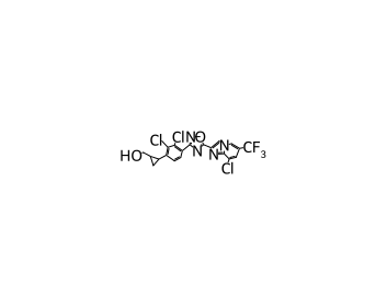 OCC1CC1c1ccc(-c2noc(-c3cn4cc(C(F)(F)F)cc(Cl)c4n3)n2)c(Cl)c1Cl